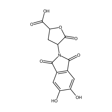 O=C(O)C1CC(N2C(=O)c3cc(O)c(O)cc3C2=O)C(=O)O1